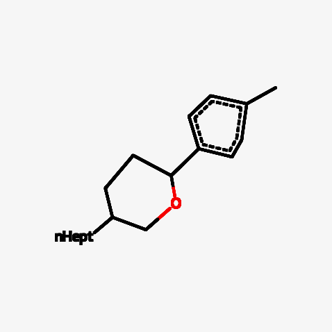 CCCCCCCC1CCC(c2ccc(C)cc2)OC1